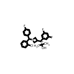 CC(C)(O)[C@@H](c1cc(F)cc(F)c1)C1CN(C(c2ccc(F)cc2)c2ccccc2Cl)C1